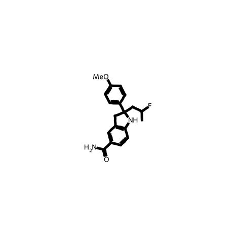 COc1ccc(C2(CC(C)F)Cc3cc(C(N)=O)ccc3N2)cc1